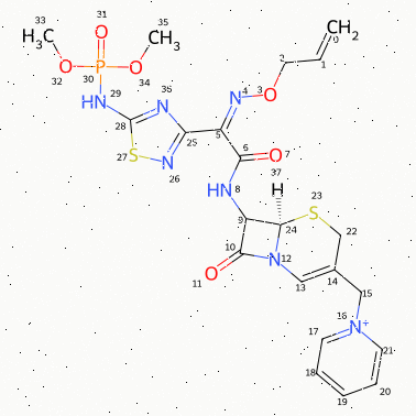 C=CCO/N=C(\C(=O)NC1C(=O)N2C=C(C[n+]3ccccc3)CS[C@H]12)c1nsc(NP(=O)(OC)OC)n1